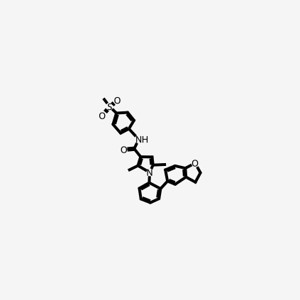 Cc1cc(C(=O)Nc2ccc(S(C)(=O)=O)cc2)c(C)n1-c1ccccc1-c1ccc2c(c1)CCO2